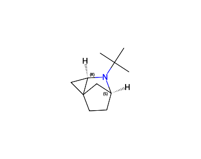 CC(C)(C)N1[C@H]2CCC3(C2)C[C@@H]13